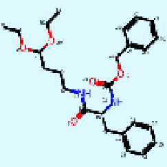 CCOC(CCCNC(=O)[C@H](Cc1ccccc1)NC(=O)OCc1ccccc1)OCC